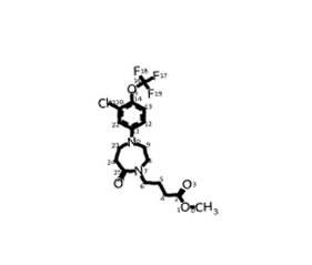 COC(=O)CCCN1CCN(c2ccc(OC(F)(F)F)c(Cl)c2)CCC1=O